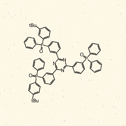 CC(C)(C)c1ccc(P(=O)(c2ccccc2)c2cccc(-c3nc(-c4cccc(P(=O)(c5ccccc5)c5ccccc5)c4)nc(-c4cccc(P(=O)(c5ccccc5)c5cccc(C(C)(C)C)c5)c4)n3)c2)cc1